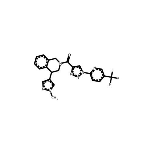 Cn1cc(C2CN(C(=O)c3cn(-c4ccc(C(F)(F)F)cn4)nn3)Cc3ccccc32)cn1